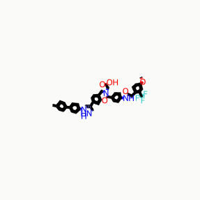 COc1ccc(CC(=O)Nc2ccc(C(=O)N(CC(=O)O)Cc3ccc(/C(C=N)=C/Nc4ccc(-c5ccc(C)cc5)cc4)cc3)cc2)c(C(F)(F)F)c1